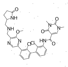 COc1nc(-c2cccc(-c3cccc(NC(=O)c4cn(C)c(=O)n(C)c4=O)c3Cl)c2Cl)cnc1CNCC1CCC(=O)N1